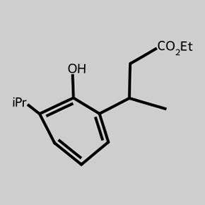 CCOC(=O)CC(C)c1cccc(C(C)C)c1O